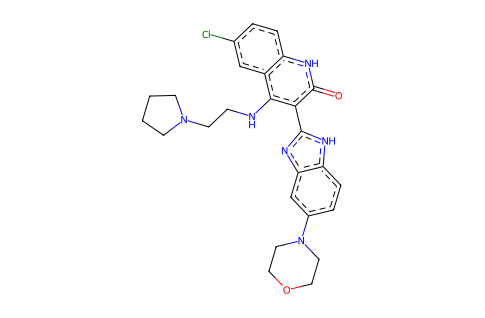 O=c1[nH]c2ccc(Cl)cc2c(NCCN2CCCC2)c1-c1nc2cc(N3CCOCC3)ccc2[nH]1